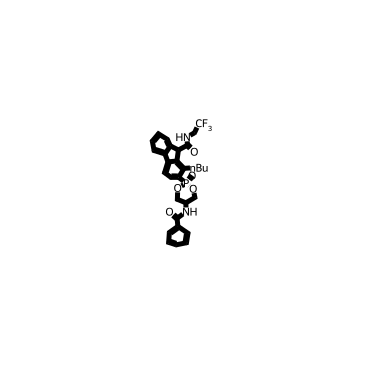 CCCCc1c(P2(=O)OCC(NC(=O)c3ccccc3)CO2)ccc2c1C(C(=O)NCC(F)(F)F)c1ccccc1-2